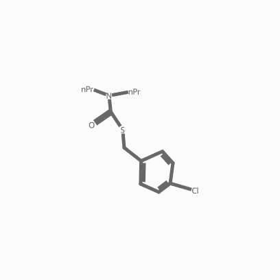 CCCN(CCC)C(=O)SCc1ccc(Cl)cc1